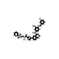 CC(NCCS(=O)(=O)c1ccccn1)c1nc(-c2ccc3ncnc(Nc4ccc(OCc5cccc(F)c5)c(Br)c4)c3c2)cs1